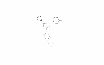 Cc1ccc(C(=O)N2N=C(c3ccc(N(C)[SH](=O)=O)cc3)CC2c2ccco2)cc1